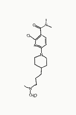 CN(C=O)CCCC1CCN(c2ccc(C(=O)N(C)C)c(Cl)n2)CC1